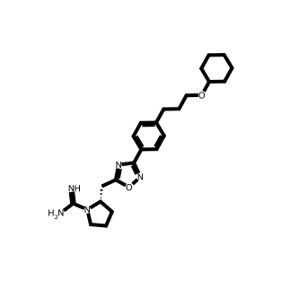 N=C(N)N1CCC[C@H]1Cc1nc(-c2ccc(CCCOC3CCCCC3)cc2)no1